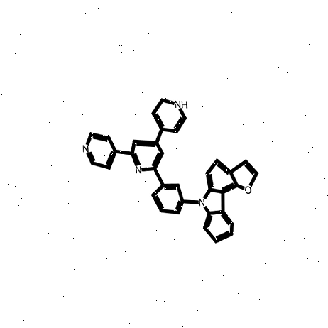 C1=CC(c2cc(-c3ccncc3)nc(-c3cccc(-n4c5ccccc5c5c6occc6ccc54)c3)c2)=CCN1